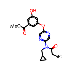 COC(=O)c1cc(O)cc(Oc2cnc(N(CC3CC3)C(=O)CC(C)C)cn2)c1